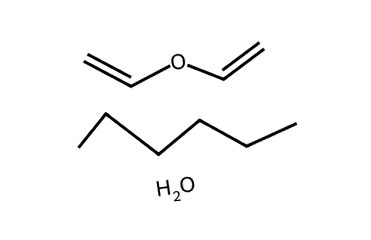 C=COC=C.CCCCCC.O